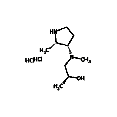 C[C@H](O)CN(C)[C@H]1CCN[C@H]1C.Cl.Cl